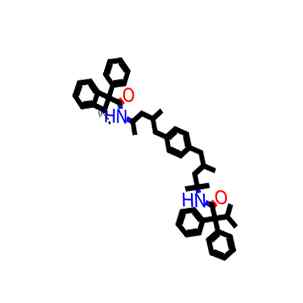 CC(Cc1ccc(CC(C)CC(C)(C)NC(=O)C(c2ccccc2)(c2ccccc2)C(C)C)cc1)CC(C)NC(=O)C1(c2ccccc2)c2ccccc2[C@H]1C